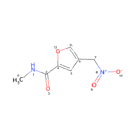 CNC(=O)c1cc(C[N+](=O)[O-])co1